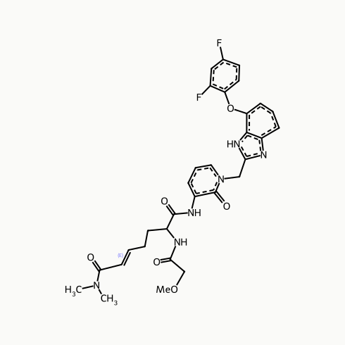 COCC(=O)NC(CC/C=C/C(=O)N(C)C)C(=O)Nc1cccn(Cc2nc3cccc(Oc4ccc(F)cc4F)c3[nH]2)c1=O